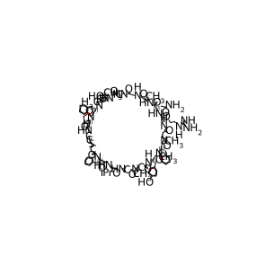 CC(C)C1NC(=O)[C@H](Cc2ccccc2)NC(=O)CSCCNC(=O)[C@@H]2CCCN2C(=O)[C@H](Cc2ccccc2)N(C)C(=O)[C@H]([C@@H](C)O)NC(=O)CNC(=O)CNC(=O)[C@H](C)NC(=O)[C@H](CC(N)=O)NC(=O)[C@H](CCCNC(=N)N)NC(=O)CN(C)C(=O)[C@H](Cc2ccccc2)N(C)C(=O)[C@H](Cc2ccc(O)cc2)NC(=O)CN(C)C(=O)CNC1=O